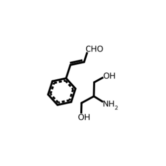 NC(CO)CO.O=CC=Cc1ccccc1